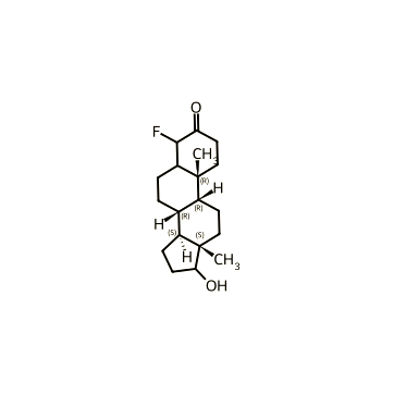 C[C@]12CCC(=O)C(F)C1CC[C@@H]1[C@H]2CC[C@]2(C)C(O)CC[C@@H]12